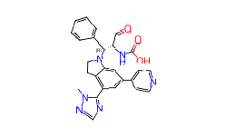 Cn1ncnc1-c1cc(-c2ccncc2)cc2c1CCN2[C@H](c1ccccc1)C(C=O)NC(=O)O